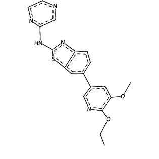 CCOc1ncc(-c2ccc3nc(Nc4cnccn4)sc3c2)cc1OC